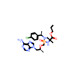 CCCOC(=O)C(C)(C)NP(=O)(CO[C@@H](C)Cn1cnc2c(N)ncnc21)N[C@H](C)c1ccc(Cl)cc1